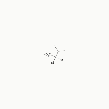 CC[C@](O)(C(=O)O)C(F)F